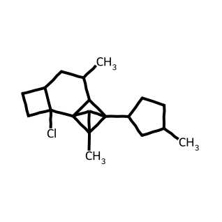 CC1CCC(C23CC4(C2C)C3C(C)CC2CCC24Cl)C1